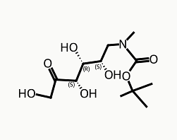 CN(C[C@H](O)[C@@H](O)[C@H](O)C(=O)CO)C(=O)OC(C)(C)C